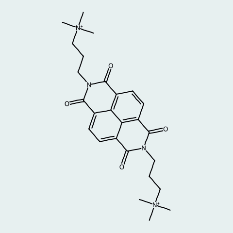 C[N+](C)(C)CCCN1C(=O)c2ccc3c4c(ccc(c24)C1=O)C(=O)N(CCC[N+](C)(C)C)C3=O